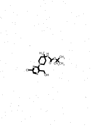 CC1(NC(=O)OC(C)(C)C)CCN(c2nc(Cl)cnc2CO)CC1